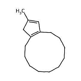 CC1=CC2=C(CCCCCCCCCC2)C1